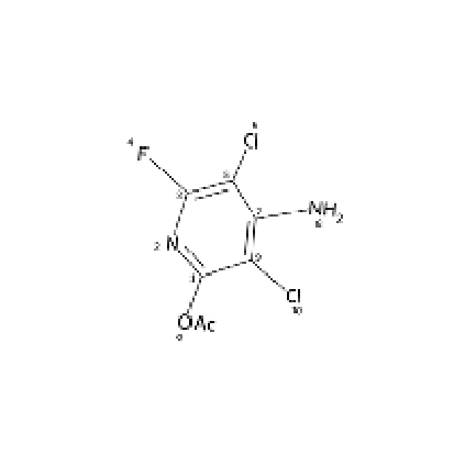 CC(=O)Oc1nc(F)c(Cl)c(N)c1Cl